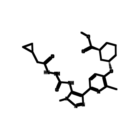 COC(=O)[C@H]1CCC[C@H](Oc2ccc(-c3nnn(C)c3NC(=O)NNC(=O)CC3CC3)nc2C)C1